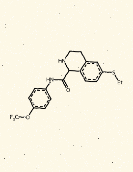 CCSc1ccc2c(c1)CCNC2C(=O)Nc1ccc(OC(F)(F)F)cc1